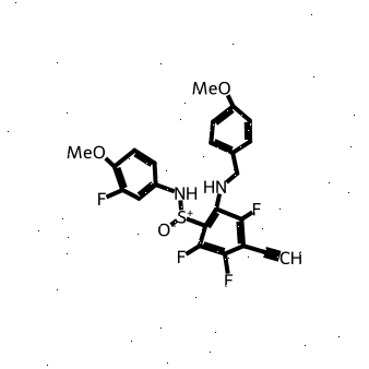 C#Cc1c(F)c(F)c([S+]([O-])Nc2ccc(OC)c(F)c2)c(NCc2ccc(OC)cc2)c1F